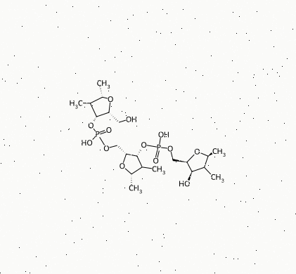 CC1[C@H](C)O[C@H](COP(=O)(O)O[C@@H]2C(C)[C@H](C)O[C@@H]2COP(=O)(O)O[C@@H]2C(C)[C@H](C)O[C@@H]2CO)[C@@H]1O